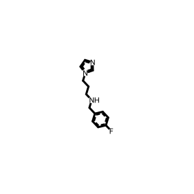 Fc1ccc(CNCCCn2ccnc2)cc1